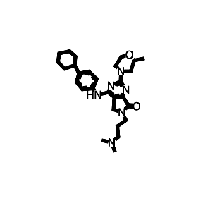 CC1CN(c2nc(Nc3ccc(C4CCCCC4)cc3)c3c(n2)C(=O)N(CCCN(C)C)C3)CCO1